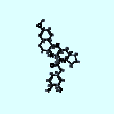 COc1ccc2c(c1)CCc1nc(NC(=O)Cc3ccc(F)c(F)c3)c(CC3CCCC3)nc1-2